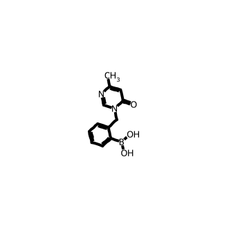 Cc1cc(=O)n(Cc2ccccc2B(O)O)cn1